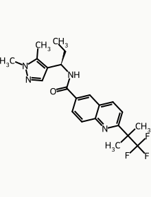 CC[C@@H](NC(=O)c1ccc2nc(C(C)(C)C(F)(F)F)ccc2c1)c1cnn(C)c1C